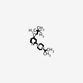 CC(C)N1CCN(c2cc(OCC(C)(C)C)ccn2)CC1